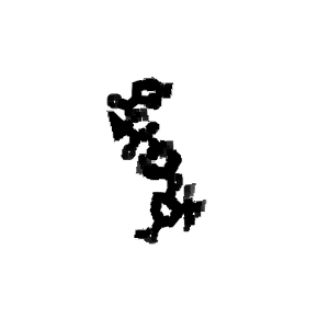 COc1ccc(Oc2cnc(N(C)C(=O)C3(NC(=O)c4ccno4)CC3)nc2)c(C(F)(F)F)c1